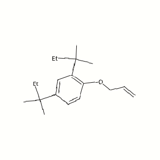 C=CCOc1ccc(C(C)(C)CC)cc1C(C)(C)CC